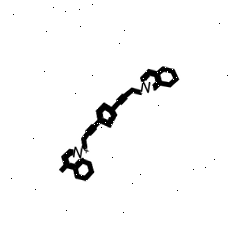 Cc1cc[n+](CCC#Cc2ccc(C#CCC[n+]3ccc4c(c3)CCCC4)cc2)c2c1CCCC2